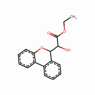 CCOC(=O)C(O)C1Oc2ccccc2-c2ccccc21